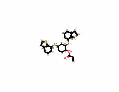 C=CC(=O)OC1CCC(Sc2cccc3ccsc23)CC1Sc1cccc2ccsc12